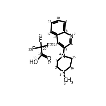 CN1CCN(c2cnc3ccccc3c2)CC1.O=C(O)C(F)(F)F